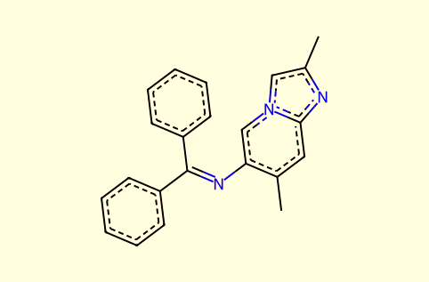 Cc1cn2cc(N=C(c3ccccc3)c3ccccc3)c(C)cc2n1